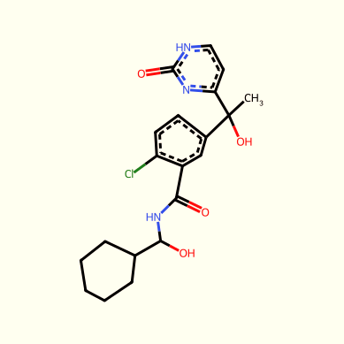 CC(O)(c1ccc(Cl)c(C(=O)NC(O)C2CCCCC2)c1)c1cc[nH]c(=O)n1